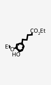 CCOC(=O)CCCCc1ccc(O)c(OCC)c1